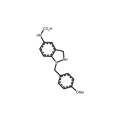 COc1ccc(CN2NCc3cc(NC(=O)O)ccc32)cc1